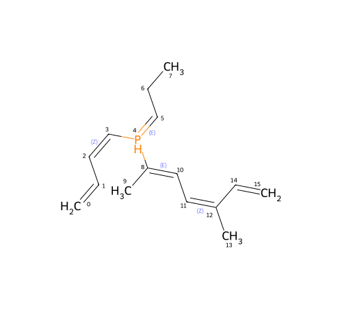 C=C\C=C/[PH](=C\CC)C(/C)=C/C=C(/C)C=C